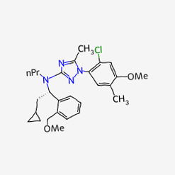 CCCN(c1nc(C)n(-c2cc(C)c(OC)cc2Cl)n1)[C@@H](CC1CC1)c1ccccc1COC